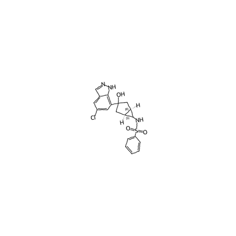 O=S(=O)(NC1[C@H]2CC(O)(c3cc(Cl)cc4cn[nH]c34)C[C@@H]12)c1ccccc1